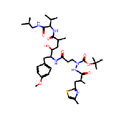 COc1ccc(CC(NC(=O)CCN(NC(=O)C(C)Cc2nc(C)cs2)C(=O)OC(C)(C)C)C(O)CC(C)C(=O)NC(C(=O)NCC(C)C)C(C)C)cc1